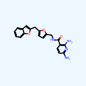 Nc1ccc(C(=O)NCc2ccc(Cc3cc4ccccc4o3)o2)c(N)n1